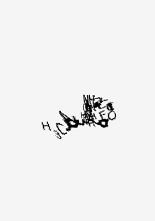 CCc1cncc(CNC[C@@H](O)[C@@H]2Cc3ccc(c(F)c3)OCCCCC(=O)N[C@@H](CC(N)=O)C(=O)N2)c1